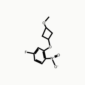 COC1CC(Oc2cc(F)ccc2[N+](=O)[O-])C1